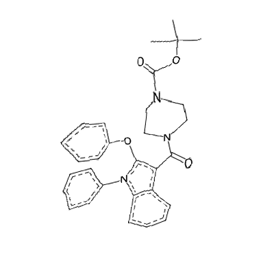 CC(C)(C)OC(=O)N1CCN(C(=O)c2c(Oc3ccccc3)n(-c3ccccc3)c3ccccc23)CC1